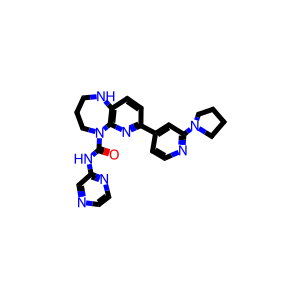 O=C(Nc1cnccn1)N1CCCNc2ccc(-c3ccnc(N4CCCC4)c3)nc21